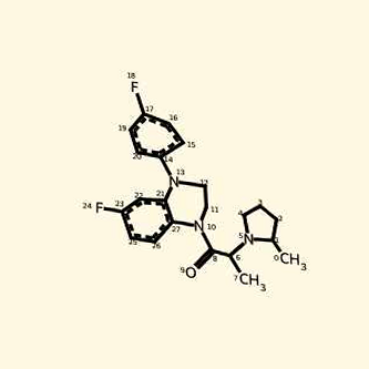 CC1CCCN1C(C)C(=O)N1CCN(c2ccc(F)cc2)c2cc(F)ccc21